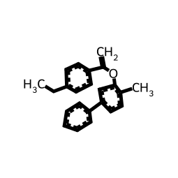 C=C(Oc1cc(-c2ccccc2)ccc1C)c1ccc(CC)cc1